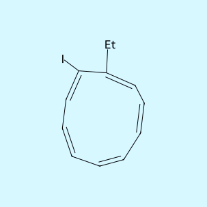 CCc1ccccccccc1I